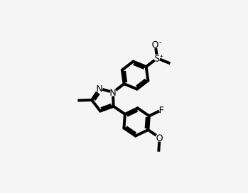 COc1ccc(-c2cc(C)nn2-c2ccc([S+](C)[O-])cc2)cc1F